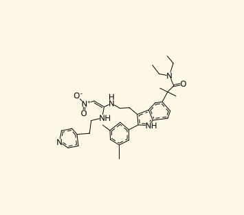 CCN(CC)C(=O)C(C)(C)c1ccc2[nH]c(-c3cc(C)cc(C)c3)c(CCN/C(=C/[N+](=O)[O-])NCCc3ccncc3)c2c1